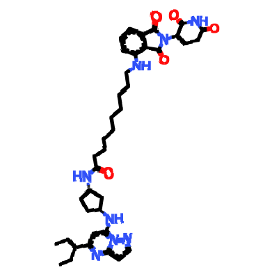 CCC(CC)c1cc(N[C@H]2CC[C@H](NC(=O)CCCCCCCCCNc3cccc4c3C(=O)N(C3CCC(=O)NC3=O)C4=O)C2)n2nccc2n1